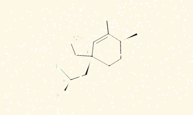 CC[C@@H](F)C[C@@]1(COC)C=C(C)[C@@H](C)CC1